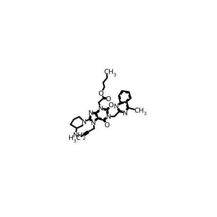 CC#CCn1c(N2CCCC(N)C2)nc2c1c(=O)n(Cc1nc(C)c3ccccc3n1)c(=O)n2CC(=O)OCCCC